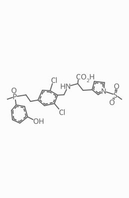 CP(=O)(CCc1cc(Cl)c(CNC(Cc2ccn(S(C)(=O)=O)c2)C(=O)O)c(Cl)c1)c1cccc(O)c1